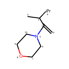 C=C(C(C)C(C)C)N1CCOCC1